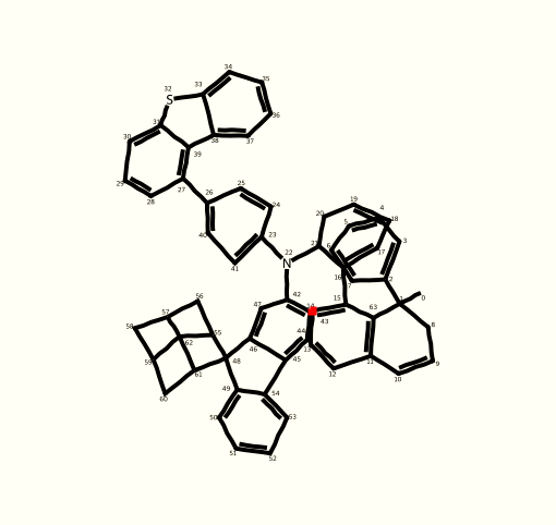 CC1(c2ccccc2)CC=Cc2cccc(C3=CC=CCC3N(c3ccc(-c4cccc5sc6ccccc6c45)cc3)c3ccc4c(c3)C3(c5ccccc5-4)C4CC5CC6CC3C564)c21